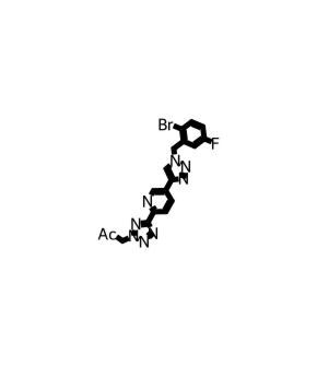 CC(=O)Cn1nnc(-c2ccc(-c3cn(Cc4cc(F)ccc4Br)nn3)cn2)n1